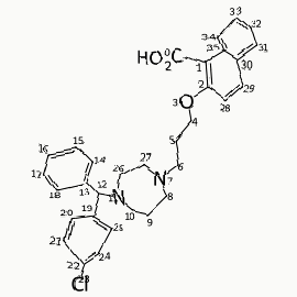 O=C(O)c1c(OCCCN2CCCN(C(c3ccccc3)c3ccc(Cl)cc3)CC2)ccc2ccccc12